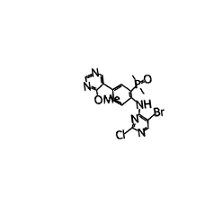 COc1ncncc1-c1ccc(Nc2nc(Cl)ncc2Br)c(P(C)(C)=O)c1